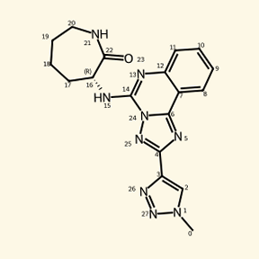 Cn1cc(-c2nc3c4ccccc4nc(N[C@@H]4CCCCNC4=O)n3n2)nn1